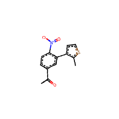 CC(=O)c1ccc([N+](=O)[O-])c(-c2ccsc2C)c1